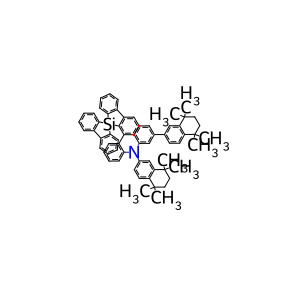 CC1(C)CCC(C)(C)c2cc(-c3cccc(N(c4ccc5c(c4)C(C)(C)CCC5(C)C)c4ccccc4-c4cccc5c4[Si]4(c6ccccc6-c6ccccc64)c4ccccc4-5)c3)ccc21